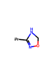 CC(C)C1=NOCN1